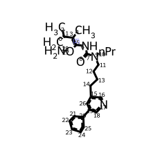 C=C(C)/C(C)=C(/NC(=O)N(CCC)CCCCc1cncc(-c2ccccc2)c1)ON